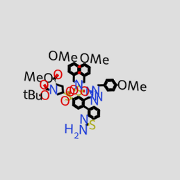 COC(=O)[C@@H]1C[C@@H](S(=O)(=O)c2ccc(-c3cccc4sc(N)nc34)c(-c3nnn(Cc4ccc(OC)cc4)n3)c2S(=O)(=O)N(Cc2ccc(OC)cc2)Cc2ccc(OC)cc2)CN1C(=O)OC(C)(C)C